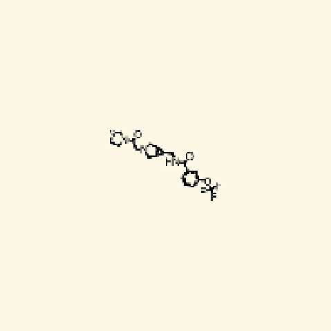 O=C(NCC1C2CN(CC(=O)N3CCSC3)CC12)c1cccc(OC(F)(F)F)c1